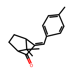 Cc1ccc(/C=C2/C(=O)C3CCC2C3(C)C)cc1